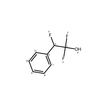 OC(F)(F)C(F)c1ccccc1